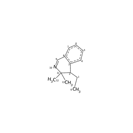 CCC1c2ccccc2C=NC1(C)C